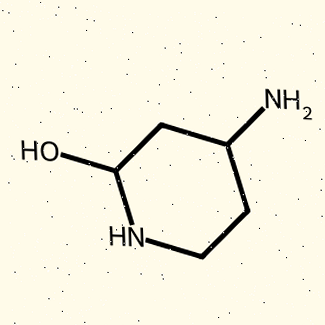 NC1CCNC(O)C1